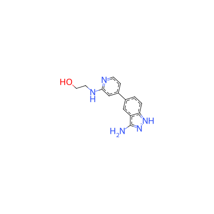 Nc1n[nH]c2ccc(-c3ccnc(NCCO)c3)cc12